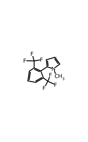 Cn1c[c]cc1-c1c(C(F)(F)F)cccc1C(F)(F)F